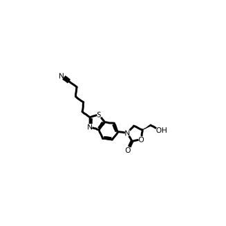 N#CCCCCc1nc2ccc(N3C[C@@H](CO)OC3=O)cc2s1